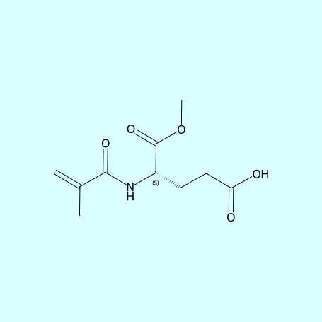 C=C(C)C(=O)N[C@@H](CCC(=O)O)C(=O)OC